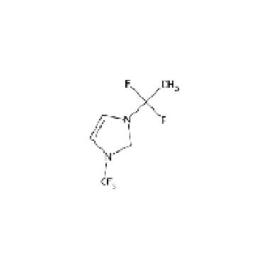 CC(F)(F)N1C=CN(C(F)(F)F)C1